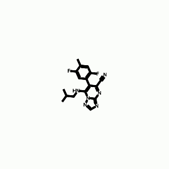 Cc1cc(F)c(-c2c(C#N)nc3ncnn3c2NCC(C)C)cc1F